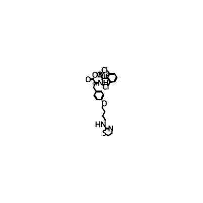 COC(=O)[C@H](Cc1ccc(OCCCCNC2=NCCS2)cc1)NC(=O)c1c(Cl)cccc1Cl